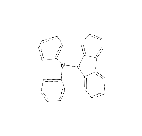 c1ccc(N(c2ccccc2)n2c3ccccc3c3ccccc32)cc1